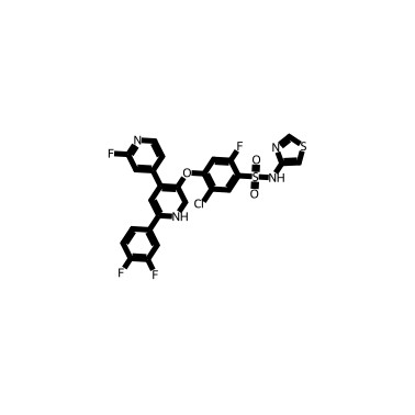 O=S(=O)(Nc1cscn1)c1cc(Cl)c(OC2=C(c3ccnc(F)c3)C=C(c3ccc(F)c(F)c3)NC2)cc1F